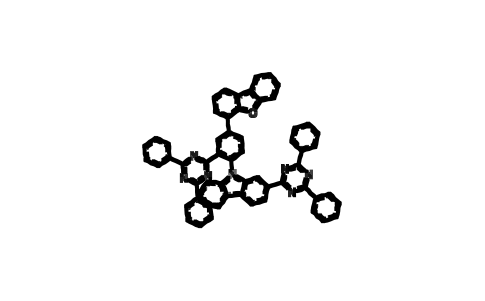 c1ccc(-c2nc(-c3ccccc3)nc(-c3ccc4c5ccccc5n(-c5ccc(-c6cccc7c6oc6ccccc67)cc5-c5nc(-c6ccccc6)nc(-c6ccccc6)n5)c4c3)n2)cc1